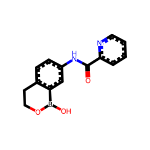 O=C(Nc1ccc2c(c1)B(O)OCC2)c1ccccn1